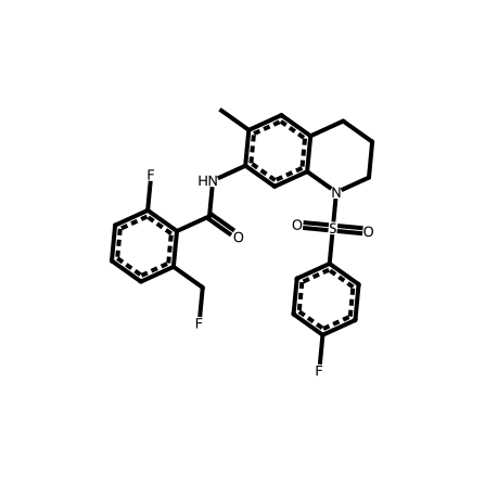 Cc1cc2c(cc1NC(=O)c1c(F)cccc1CF)N(S(=O)(=O)c1ccc(F)cc1)CCC2